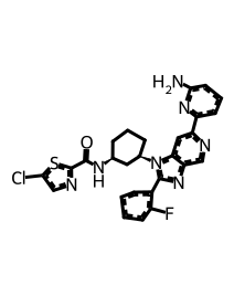 Nc1cccc(-c2cc3c(cn2)nc(-c2ccccc2F)n3[C@@H]2CCC[C@H](NC(=O)c3ncc(Cl)s3)C2)n1